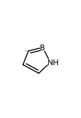 b1[c]cc[nH]1